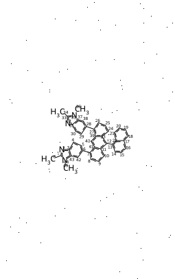 Cc1nc2ccc(-c3cccc4c(-c5cccc6ccccc56)c5cccc(-c6ccc7nc(C)n(C)c7c6)c5cc34)cc2n1C